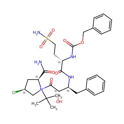 CC(C)(C)[N+]1(C(=O)[C@@H](O)[C@H](Cc2ccccc2)NC(=O)[C@H](CCS(N)(=O)=O)NC(=O)OCc2ccccc2)C[C@@H](Cl)C[C@H]1C(N)=O